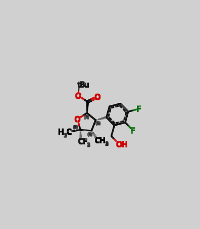 C[C@H]1[C@@H](c2ccc(F)c(F)c2CO)[C@H](C(=O)OC(C)(C)C)O[C@@]1(C)C(F)(F)F